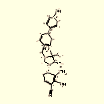 CC1=C(O)C(C#N)=CC[C@@H]1N1CN(CC2=CC[C@H](C3=CCN(O)C=C3)C=C2)C(C)(C)[C@H]1O